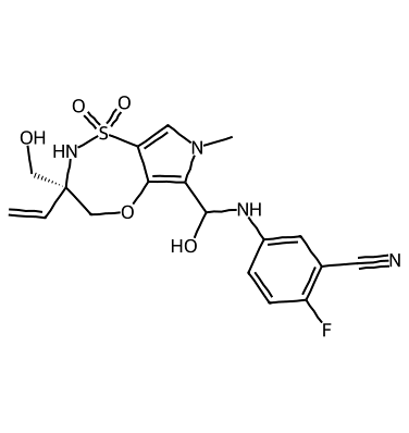 C=C[C@]1(CO)COc2c(cn(C)c2C(O)Nc2ccc(F)c(C#N)c2)S(=O)(=O)N1